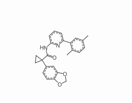 Cc1ccc(C)c(-c2cccc(NC(=O)C3(c4ccc5c(c4)OCO5)CC3)n2)c1